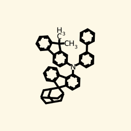 CC1(C)c2ccccc2-c2ccc(N(c3cccc(-c4ccccc4)c3)c3cccc4c3-c3ccccc3C43C4CC5CC(C4)CC3C5)cc21